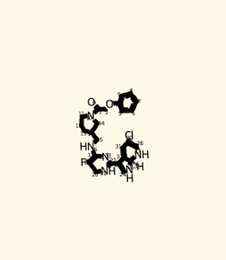 O=C(COc1ccccc1)N1CCCC(CNC2=C(F)CNC(C3=CN[C@@H]4NC=C(Cl)C=C34)=N2)C1